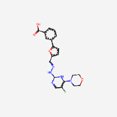 O=C(O)c1cccc(-c2ccc(/C=N/NC3N=CC(F)=C(N4CCOCC4)N3)o2)c1